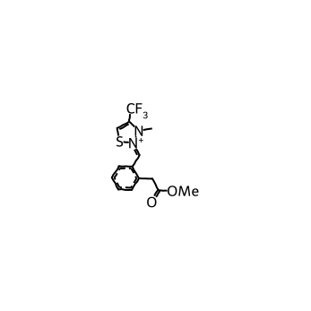 COC(=O)Cc1ccccc1C=[N+]1SC=C(C(F)(F)F)N1C